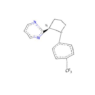 FC(F)(F)c1ccc([C]2CC[C@@H]2c2ncccn2)cc1